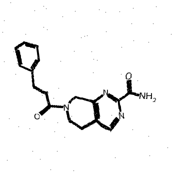 NC(=O)c1n[c]c2c(n1)CN(C(=O)CCc1ccccc1)CC2